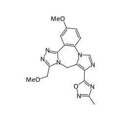 COCc1nnc2n1Cc1c(-c3nc(C)no3)ncn1-c1ccc(OC)cc1-2